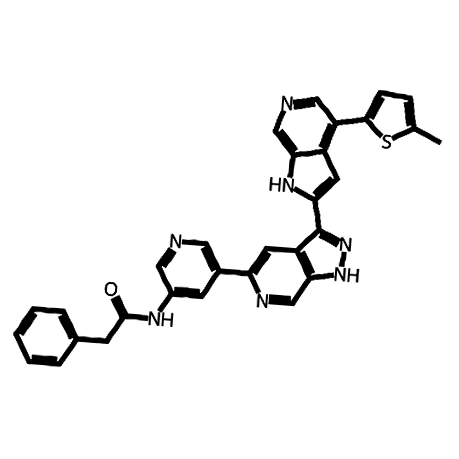 Cc1ccc(-c2cncc3[nH]c(-c4n[nH]c5cnc(-c6cncc(NC(=O)Cc7ccccc7)c6)cc45)cc23)s1